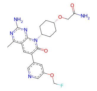 Cc1nc(N)nc2c1cc(-c1cncc(OCF)c1)c(=O)n2[C@H]1CC[C@@H](OCC(N)=O)CC1